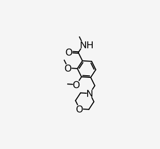 CNC(=O)c1ccc(CN2CCOCC2)c(OC)c1OC